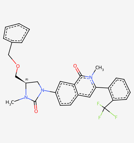 CN1C(=O)N(c2ccc3cc(-c4ccccc4C(F)(F)F)n(C)c(=O)c3c2)C[C@@H]1COCc1ccccc1